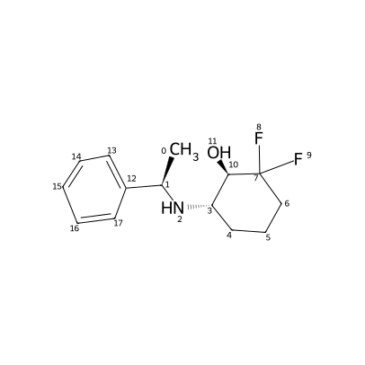 C[C@@H](N[C@H]1CCCC(F)(F)[C@@H]1O)c1ccccc1